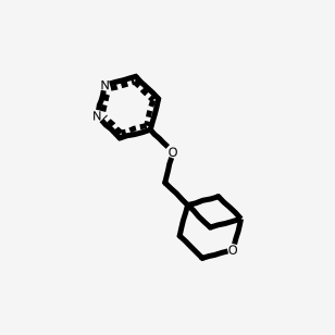 c1cc(OCC23CCOC(C2)C3)cnn1